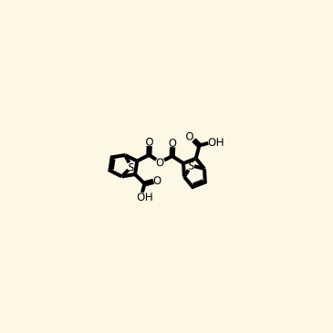 O=C(O)C1C2C=CC(S2)C1C(=O)OC(=O)C1C2C=CC(S2)C1C(=O)O